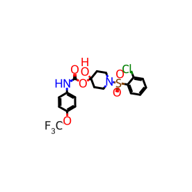 O=C(Nc1ccc(OC(F)(F)F)cc1)OC1(O)CCN(S(=O)(=O)c2ccccc2Cl)CC1